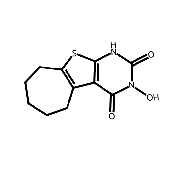 O=c1[nH]c2sc3c(c2c(=O)n1O)CCCCC3